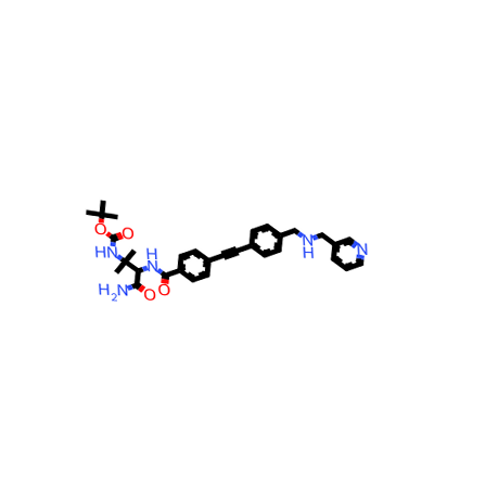 CC(C)(C)OC(=O)NC(C)(C)C(NC(=O)c1ccc(C#Cc2ccc(CNCc3cccnc3)cc2)cc1)C(N)=O